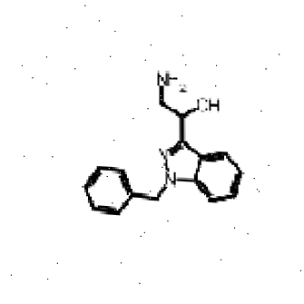 NCC(O)c1nn(Cc2ccccc2)c2ccccc12